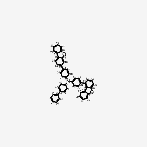 c1ccc(-c2ccc(N(c3ccc(-c4ccc5c(c4)oc4ccccc45)cc3)c3ccc(-c4cccc5oc6ccccc6c45)cc3)cc2)cc1